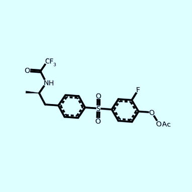 CC(=O)OOc1ccc(S(=O)(=O)c2ccc(C[C@@H](C)NC(=O)C(F)(F)F)cc2)cc1F